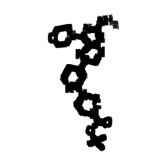 CC(C)(C)OC(=O)N1CCN(c2cc(-c3cnc4nc(N)nc(N5CCOCC5)c4n3)ccn2)CC1